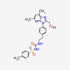 CCOCc1nc2c(C)cc(C)nc2n1-c1ccc(CCNC(=O)NS(=O)(=O)c2ccc(C)cc2)cc1